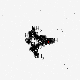 COc1cc2c(cc1OCCCCCC(=O)N1C[C@@H](CCl)c3c1cc(OC(=O)N1CCN(C)CC1)c1ccccc31)N(C(=O)OCc1ccc(NC(=O)[C@H](CCCCN)NC(=O)C3(C(=O)NCCCCCN4C(=O)C=CC4=O)CCC3)cc1)C(OC)[C@@H]1CCCN1C2=O.O=C(O)C(F)(F)F.O=C(O)C(F)(F)F